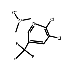 C[S+](C)[O-].FC(F)(F)c1cnc(Cl)c(Cl)c1